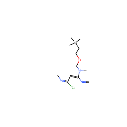 C=N/C(=C\C(Cl)=N/C)N(C)COCC[Si](C)(C)C